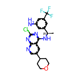 C[C@@H](Nc1nc(Cl)nc2ncc(C3CCOCC3)cc12)c1cc(N)cc(C(F)(F)F)c1